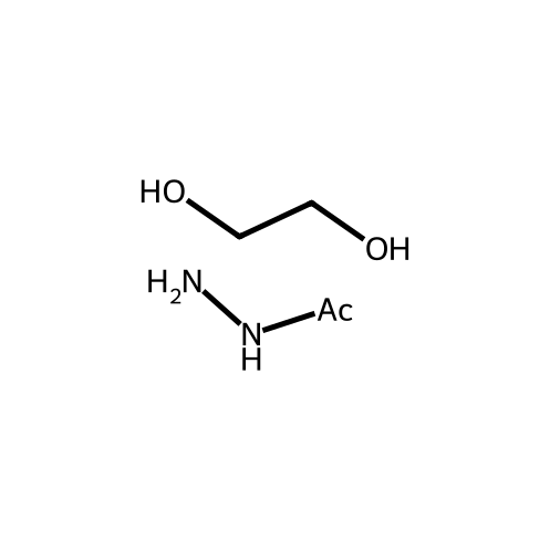 CC(=O)NN.OCCO